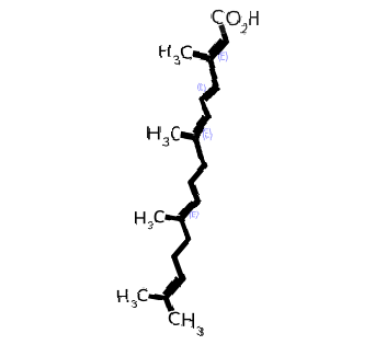 CC(C)=CCC/C(C)=C/CC/C(C)=C/C=C/C(C)=C/C(=O)O